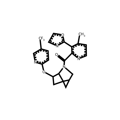 Cc1ccnc(C(=O)N2CC3CC34CC(Oc3ccc(C(F)(F)F)cn3)C24)c1-c1ncco1